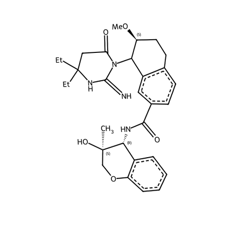 CCC1(CC)CC(=O)N(C2c3cc(C(=O)N[C@@H]4c5ccccc5OC[C@@]4(C)O)ccc3CC[C@@H]2OC)C(=N)N1